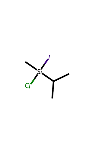 CC(C)[Si](C)(Cl)I